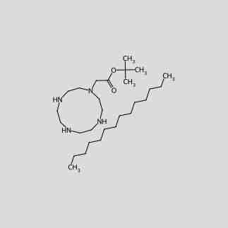 CC(C)(C)OC(=O)CN1CCNCCNCCNCC1.CCCCCCCCCCCCCC